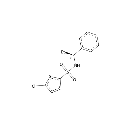 CC[C@H](NS(=O)(=O)c1ccc(Cl)s1)c1ccccc1